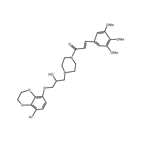 COc1cc(/C=C/C(=O)N2CCN(CC(O)COc3ccc(C(C)=O)c4c3OCCO4)CC2)cc(OC)c1OC